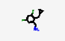 NCc1cc(F)cc(F)c1CC1CC1